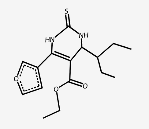 CCOC(=O)C1=C(c2ccoc2)NC(=S)NC1C(CC)CC